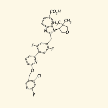 CC1(C)COC[C@H]1n1c(Cc2cc(F)c(-c3cccc(OCc4ccc(F)cc4Cl)n3)cc2F)nc2ccc(C(=O)O)cc21